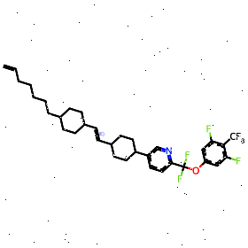 C=CCCCCCC1CCC(/C=C/C2CCC(c3ccc(C(F)(F)Oc4cc(F)c(C(F)(F)F)c(F)c4)nc3)CC2)CC1